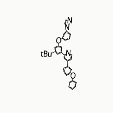 CC(C)(C)c1cc(Oc2cccc(-n3ccnc3)c2)cc(-c2cc(-c3cccc(Oc4ccccc4)c3)ccn2)c1